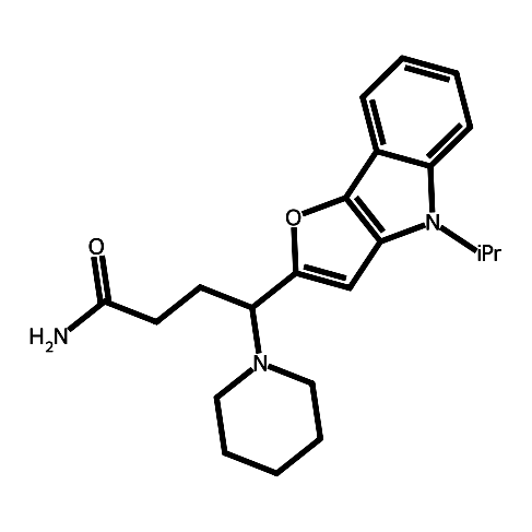 CC(C)n1c2ccccc2c2oc(C(CCC(N)=O)N3CCCCC3)cc21